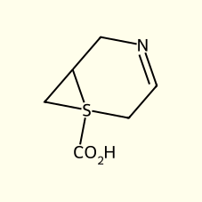 O=C(O)S12CC=NCC1C2